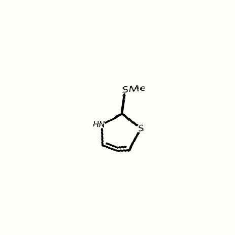 [CH2]SC1NC=CS1